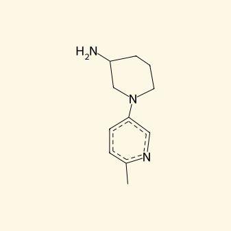 Cc1ccc(N2CCCC(N)C2)cn1